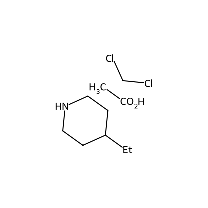 CC(=O)O.CCC1CCNCC1.ClCCl